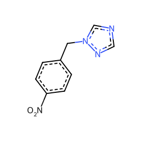 O=[N+]([O-])c1ccc(Cn2cncn2)cc1